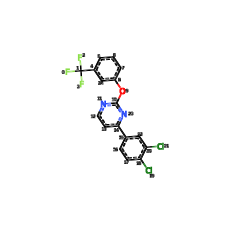 FC(F)(F)c1cccc(Oc2nccc(-c3ccc(Cl)c(Cl)c3)n2)c1